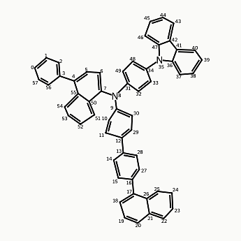 c1ccc(-c2ccc(N(c3ccc(-c4ccc(-c5cccc6ccccc56)cc4)cc3)c3ccc(-n4c5ccccc5c5ccccc54)cc3)c3ccccc23)cc1